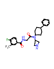 O=C(NCC(=O)N(C1CCC(c2ccccc2)CC1)C1CNC1)c1ccc(F)c(C(F)(F)F)c1